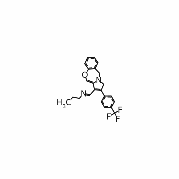 CCCN=CC1=C(c2ccc(C(F)(F)F)cc2)CN2Cc3ccccc3OC=C12